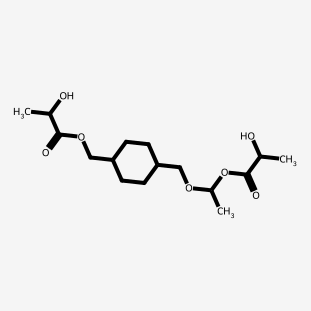 CC(OCC1CCC(COC(=O)C(C)O)CC1)OC(=O)C(C)O